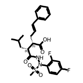 CC(C)C[C@@H](C(=O)NN(c1ccc(F)cc1F)S(C)(=O)=O)[C@H](CC=Cc1ccccc1)C(=O)O